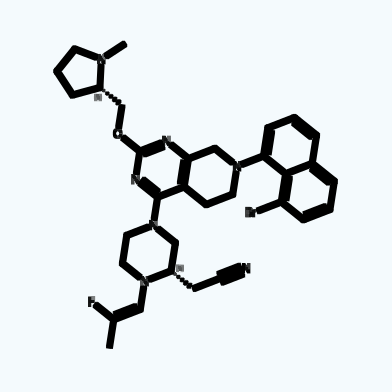 CC(F)=CN1CCN(c2nc(OC[C@@H]3CCCN3C)nc3c2CCN(c2cccc4cccc(Br)c24)C3)C[C@@H]1CC#N